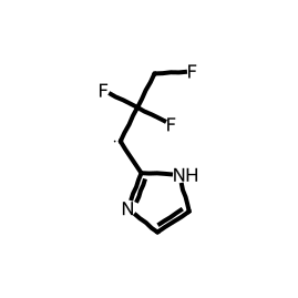 FCC(F)(F)[CH]c1ncc[nH]1